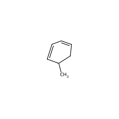 C[C]1C=CC=CC1